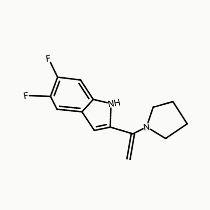 C=C(c1cc2cc(F)c(F)cc2[nH]1)N1CCCC1